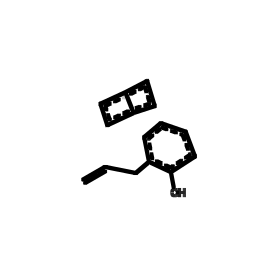 C=CCc1ccccc1O.c1cc2ccc1-2